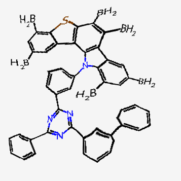 Bc1cc(B)c2sc3c(B)c(B)c4c5cc(B)cc(B)c5n(-c5cccc(-c6nc(-c7ccccc7)nc(-c7cccc(-c8ccccc8)c7)n6)c5)c4c3c2c1